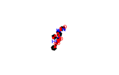 Cn1cc(-n2ncc3cc(N4C(=O)C(C)(C)[C@@H](NC(=O)OCc5ccccc5)[C@@H]4c4ccccc4)ccc32)ccc1=O